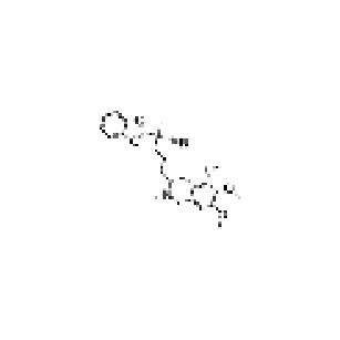 COc1cc2c(c(OC)c1OC)CC(CCCC(C)(C#N)C1Oc3ccccc3O1)N(C)C2